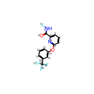 O=C(NF)c1cccc(Oc2cccc(C(F)(F)F)c2)n1